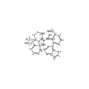 CCNC(=O)NC1(C2CNCCC2(C)C(=O)O)N=CC=CN1c1cc(-c2cncc(OC)n2)c2scnc2c1